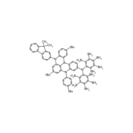 Bc1c(B)c(B)c(N(c2ccc3c(c2)N(c2ccc(C(C)(C)C)cc2)c2cc(C(C)(C)C)cc4c2B3c2cc(C(C)(C)C)ccc2N4c2ccc3c(c2)C(C)(C)c2ccccc2-3)c2c(B)c(B)c(B)c(B)c2B)c(B)c1B